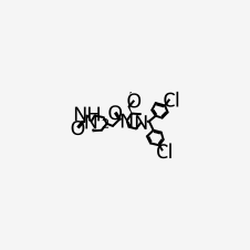 COC[C@H]1CN(C(c2ccc(Cl)cc2)c2ccc(Cl)cc2)CCN1C(=O)CC1CCN(C(N)=O)CC1